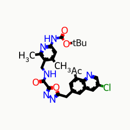 CC(=O)c1cc(Cc2nnc(C(=O)NCc3c(C)cc(NC(=O)OC(C)(C)C)nc3C)o2)cc2cc(Cl)cnc12